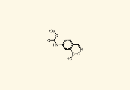 CC(C)(C)OC(=O)Nc1ccc2c(c1)B(O)ON=C2